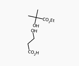 CCOC(=O)C(C)(C)O.O=C(O)CCO